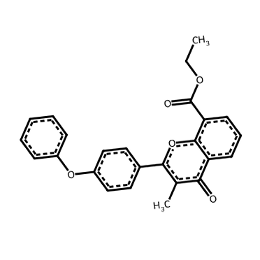 CCOC(=O)c1cccc2c(=O)c(C)c(-c3ccc(Oc4ccccc4)cc3)oc12